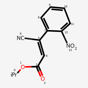 CC(C)OC(=O)C=C(C#N)c1ccccc1[N+](=O)[O-]